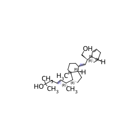 C[C@H](/C=C/CC(C)(C)O)[C@H]1CC[C@H]2/C(=C/[C@@H](CO)[C@@]34C=CC[C@@H]3C4)CCC[C@]12C